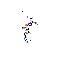 Cc1ncc(-c2ccc3c(c2)C(=O)CC2(CCN(C(=O)c4ccc5c(C)cn(OC(C)C6CC6)c5c4)CC2)O3)cc1C(=O)[O-].[Na+]